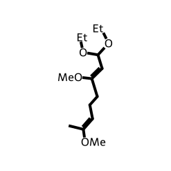 CCOC(/C=C(/CCC=C(C)OC)OC)OCC